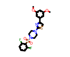 COc1cc(OC)cc(-c2csc(N3CCN(S(=O)(=O)c4c(F)cccc4F)CC3)n2)c1